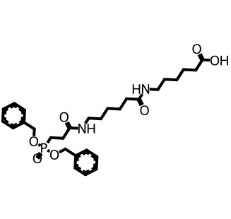 O=C(O)CCCCCNC(=O)CCCCCNC(=O)CCP(=O)(OCc1ccccc1)OCc1ccccc1